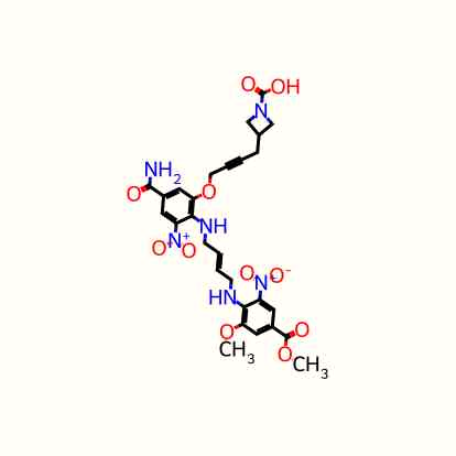 COC(=O)c1cc(OC)c(NCC=CCNc2c(OCC#CCC3CN(C(=O)O)C3)cc(C(N)=O)cc2[N+](=O)[O-])c([N+](=O)[O-])c1